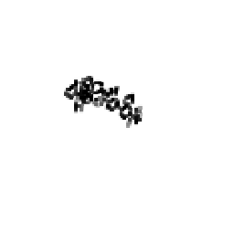 O=C(Nc1ccc(O)c(S(=O)(=O)Nc2ccccc2)c1)c1ccc(-c2ccc(C(F)(F)F)cc2Cl)cc1